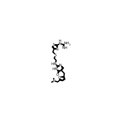 CN(C)Cc1ccc(Cc2cnc(NCCSCc3csc(NC(=N)N)n3)[nH]c2=O)o1